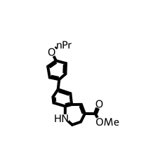 CCCOc1ccc(-c2ccc3c(c2)C=C(C(=O)OC)CCN3)cc1